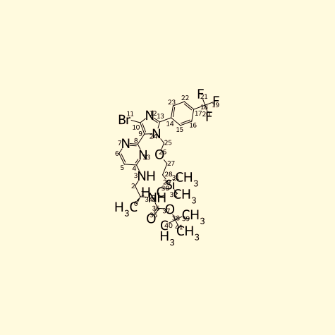 C[C@@H](CNc1ccnc(-c2c(Br)nc(-c3ccc(C(F)(F)F)cc3)n2COCC[Si](C)(C)C)n1)NC(=O)OC(C)(C)C